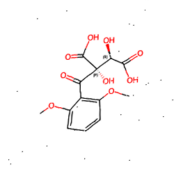 COc1cccc(OC)c1C(=O)[C@@](O)(C(=O)O)[C@@H](O)C(=O)O